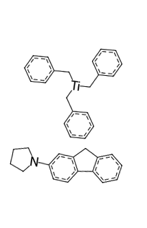 c1ccc([CH2][Ti]([CH2]c2ccccc2)[CH2]c2ccccc2)cc1.c1ccc2c(c1)Cc1cc(N3CCCC3)ccc1-2